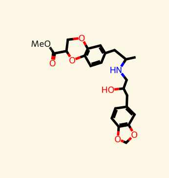 COC(=O)C1COc2cc(CC(C)NCC(O)Cc3ccc4c(c3)OCO4)ccc2O1